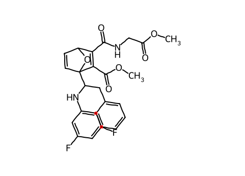 COC(=O)CNC(=O)C1=C(C(=O)OC)C2(C(Cc3ccccc3)Nc3cc(F)cc(F)c3)C=CC1O2